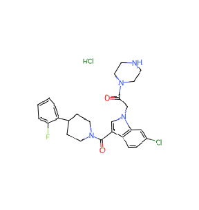 Cl.O=C(Cn1cc(C(=O)N2CCC(c3ccccc3F)CC2)c2ccc(Cl)cc21)N1CCNCC1